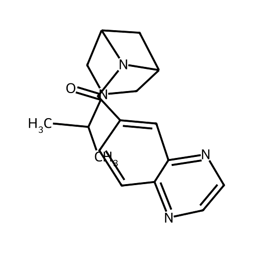 CC(C)N1CC2CC(C1)N2C(=O)c1ccc2nccnc2c1